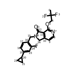 CC(F)(F)COc1nccc2c1C(=O)N(Cc1ccc(C3CC3)cc1F)C2